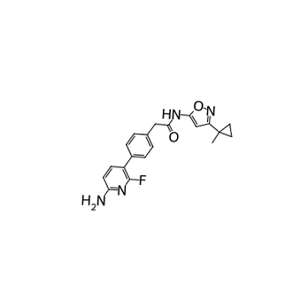 CC1(c2cc(NC(=O)Cc3ccc(-c4ccc(N)nc4F)cc3)on2)CC1